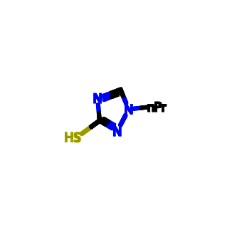 CCCn1cnc(S)n1